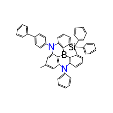 Cc1cc2c3c(c1)N(c1ccc(-c4ccccc4)cc1)c1cccc4c1B3c1c(cccc1[Si]4(c1ccccc1)c1ccccc1)N2c1ccccc1